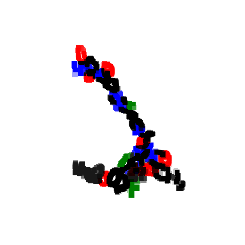 CCc1c(F)ccc2cc(OCOC)cc(-c3ncc4c(N5CCOC[C@@](C)(O)C5)nc(OCC5(CN6CCC7(CC6)CC(F)(CN6CCN(c8ccc9c(c8)CN([C@H]8CCC(=O)NC8=O)C9=O)CC6)C7)CC5)nc4c3F)c12